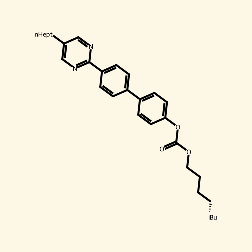 CCCCCCCc1cnc(-c2ccc(-c3ccc(OC(=O)OCCCC[C@@H](C)CC)cc3)cc2)nc1